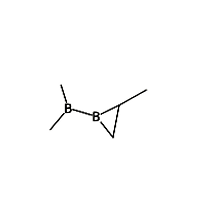 CB(C)B1CC1C